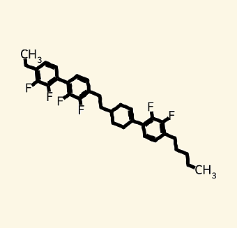 CCCCCc1ccc(C2=CCC(CCc3ccc(-c4ccc(CC)c(F)c4F)c(F)c3F)CC2)c(F)c1F